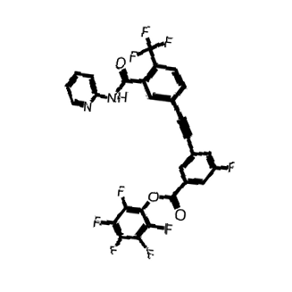 O=C(Oc1c(F)c(F)c(F)c(F)c1F)c1cc(F)cc(C#Cc2ccc(C(F)(F)F)c(C(=O)Nc3ccccn3)c2)c1